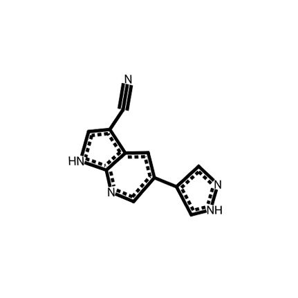 N#Cc1c[nH]c2ncc(-c3cn[nH]c3)cc12